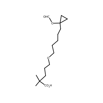 CC(C)(CCCOCCCCCC1(OC=O)CC1)C(=O)O